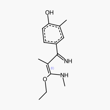 CCO/C(NC)=C(\C)C(=N)c1ccc(O)c(C)c1